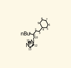 CCCCC(CCC1CCCCC1)Cn1ccnc1